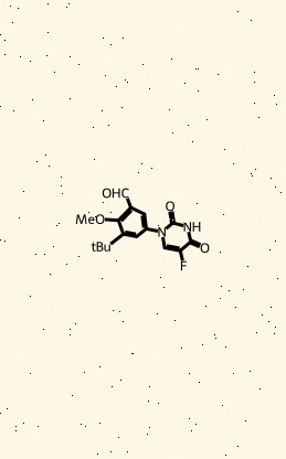 COc1c(C=O)cc(-n2cc(F)c(=O)[nH]c2=O)cc1C(C)(C)C